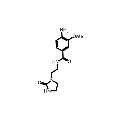 COc1cc(C(=O)NCCN2CCNC2=O)ccc1N